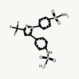 CS(=O)(=O)Nc1ccc(-c2cc(C(F)(F)F)nn2-c2ccc(S(N)(=O)=O)cc2)cc1